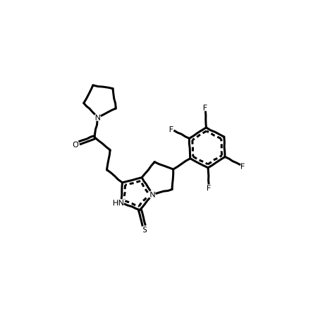 O=C(CCc1[nH]c(=S)n2c1CC(c1c(F)c(F)cc(F)c1F)C2)N1CCCC1